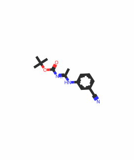 C/C(=N\C(=O)OC(C)(C)C)Nc1cccc(C#N)c1